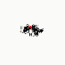 C[C@@H]1S[C@@H]2[C@H](NC(=O)/C(=N\OC(C)(C)C(=O)O)c3csc(N)n3)C(=O)N2C(C(=O)[O-])=C1C[N+]12CCC(CC1)N(C(=O)c1c[nH]c3cc(O)c(O)c(Cl)c3c1=O)CC2